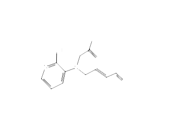 O=CC=CCN(CC(=O)O)c1cccnc1S